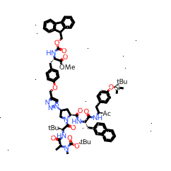 COC(=O)[C@H](Cc1ccc(OCc2cn([C@H]3C[C@@H](C(=O)N[C@@H](Cc4ccc5ccccc5c4)C(=O)N[C@@H](Cc4ccc(O[Si](C)(C)C(C)(C)C)cc4)C(C)=O)N(C(=O)[C@@H](NC(=O)C(C)N(C)C(=O)OC(C)(C)C)C(C)(C)C)C3)nn2)cc1)NC(=O)OCC1c2ccccc2-c2ccccc21